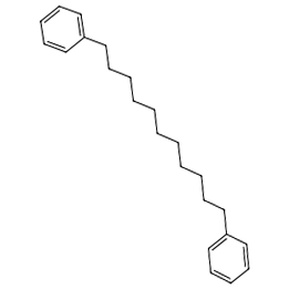 c1ccc(CCCCCCCCCCCc2ccccc2)cc1